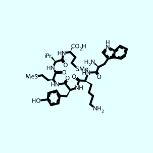 CSCC[C@H](NC(=O)[C@@H](NC(=O)[C@H](CCSC)NC(=O)[C@H](Cc1ccc(O)cc1)NC(=O)[C@H](CCCCN)NC(=O)[C@@H](N)Cc1c[nH]c2ccccc12)C(C)C)C(=O)O